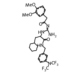 COc1ccc(CC(=O)N=C(N)NC(CC2CCCCC2)C(=O)NCc2cccc(N(C(F)(F)F)C(F)(F)F)c2)cc1OC